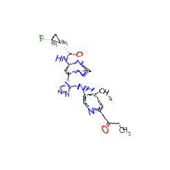 CCC(=O)c1cc(C)c(Nc2nncn2-c2cc(NC(=O)[C@H]3C[C@H]3F)ncn2)cn1